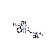 CN(C)CCCCNc1ccccc1C(C)(C)C